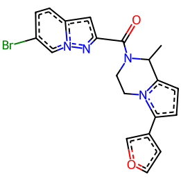 CC1c2ccc(-c3ccoc3)n2CCN1C(=O)c1cc2ccc(Br)cn2n1